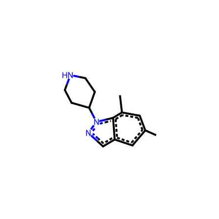 Cc1cc(C)c2c(cnn2C2CCNCC2)c1